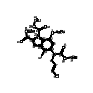 CCCCOc1cc(N(C/C=C/Cl)C(=O)OC(C)(C)C)c(I)c2cc(C(=O)OC)n(C(=O)OC(C)(C)C)c12